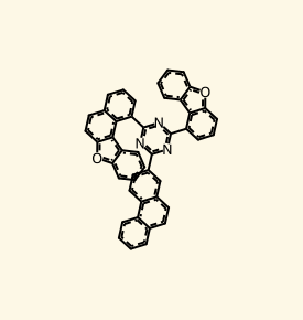 c1ccc2c(c1)ccc1cc(-c3nc(-c4cccc5oc6ccccc6c45)nc(-c4cccc5ccc6oc7ccccc7c6c45)n3)ccc12